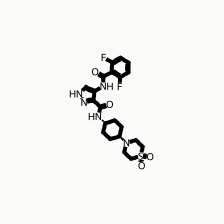 O=C(N[C@H]1CC[C@H](N2CCS(=O)(=O)CC2)CC1)c1n[nH]cc1NC(=O)c1c(F)cccc1F